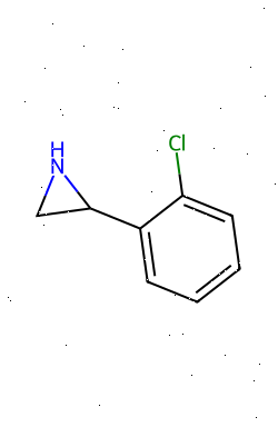 Clc1ccccc1C1CN1